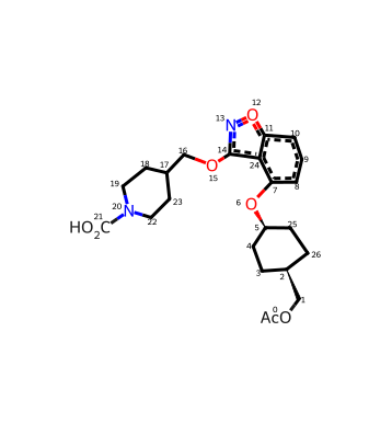 CC(=O)OC[C@H]1CC[C@@H](Oc2cccc3onc(OCC4CCN(C(=O)O)CC4)c23)CC1